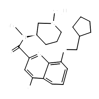 CC(C)N(C(=O)c1cc(Cl)c2cccc(OCC3CCCC3)c2n1)[C@@H]1CCCN(C(=O)O)C1